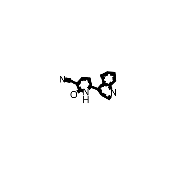 N#Cc1ccc(-c2ccnc3ccccc23)[nH]c1=O